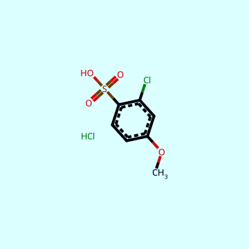 COc1ccc(S(=O)(=O)O)c(Cl)c1.Cl